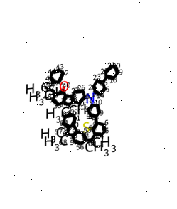 CC1(C)c2cccc(-c3ccc(N(c4ccc(-c5ccccc5)cc4)c4ccc5c(c4)C(C)(C)c4ccc6c(c4-5)Oc4ccccc4[Si]6(C)C)cc3)c2Sc2c1ccc1c2-c2ccccc2C1(C)C